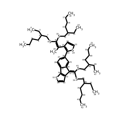 CCCCC(CC)CSC(SCC(CC)CCCC)=C(C)c1ccsc1-c1ccc2c(c1)C(=C(SCC(CC)CCCC)SCC(CC)CCCC)c1ccsc1-2